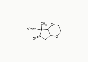 CCCCCC1(C)C(=O)CC2OCCOC21